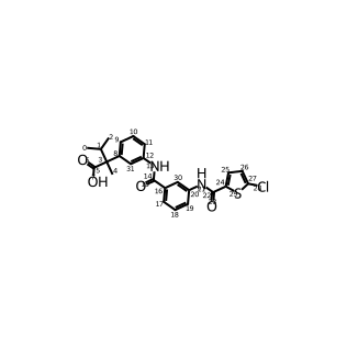 CC(C)C(C)(C(=O)O)c1cccc(NC(=O)c2cccc(NC(=O)c3ccc(Cl)s3)c2)c1